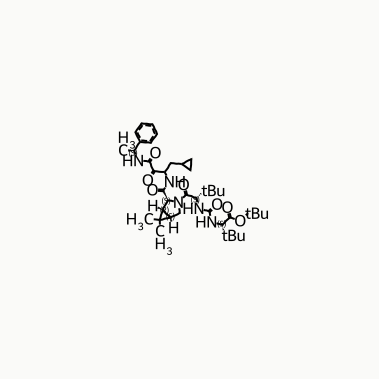 C[C@H](NC(=O)C(=O)C(CC1CC1)NC(=O)[C@@H]1[C@@H]2[C@H](CN1C(=O)[C@@H](NC(=O)N[C@H](C(=O)OC(C)(C)C)C(C)(C)C)C(C)(C)C)C2(C)C)c1ccccc1